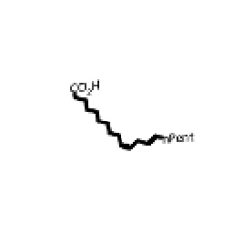 CCCCCC=CC/C=C\CCCCCCCCC(=O)O